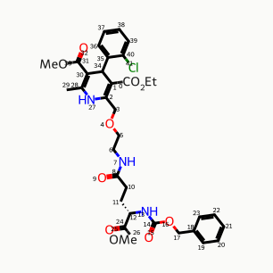 CCOC(=O)C1=C(COCCNC(=O)CC[C@H](NC(=O)OCc2ccccc2)C(=O)OC)NC(C)=C(C(=O)OC)C1c1ccccc1Cl